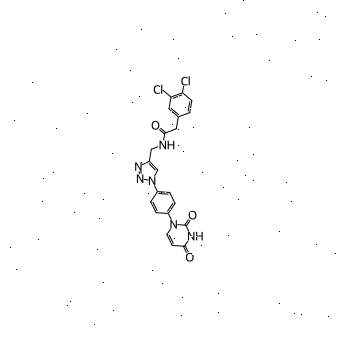 O=C(Cc1ccc(Cl)c(Cl)c1)NCc1cn(-c2ccc(-n3ccc(=O)[nH]c3=O)cc2)nn1